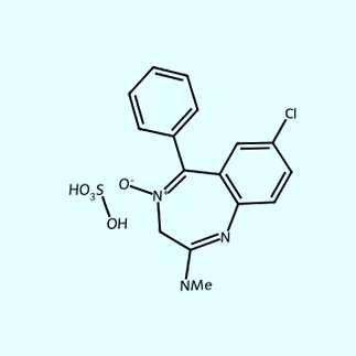 CNC1=Nc2ccc(Cl)cc2C(c2ccccc2)=[N+]([O-])C1.O=S(=O)(O)O